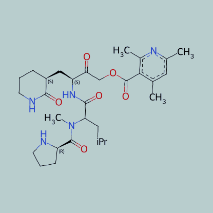 Cc1cc(C)c(C(=O)OCC(=O)[C@H](C[C@@H]2CCCNC2=O)NC(=O)C(CC(C)C)N(C)C(=O)[C@H]2CCCN2)c(C)n1